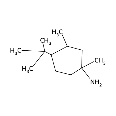 CC1CC(C)(N)CCC1C(C)(C)C